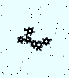 Cc1ccc(C2=Nc3nc(-c4cc(-c5ccon5)n(Cc5ccccc5F)n4)ncc3C(C)(C)O2)cc1